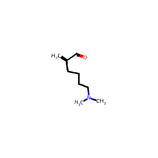 C=C([C]=O)CCCCN(C)C